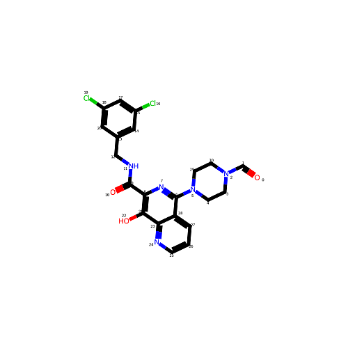 O=CN1CCN(c2nc(C(=O)NCc3cc(Cl)cc(Cl)c3)c(O)c3ncccc23)CC1